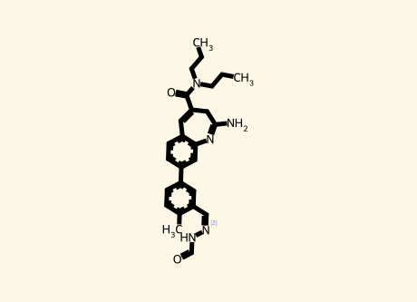 CCCN(CCC)C(=O)C1=Cc2ccc(-c3ccc(C)c(/C=N\NC=O)c3)cc2N=C(N)C1